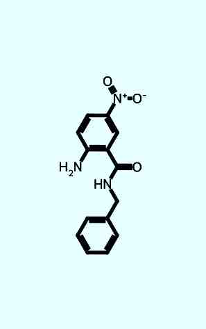 Nc1ccc([N+](=O)[O-])cc1C(=O)NCc1ccccc1